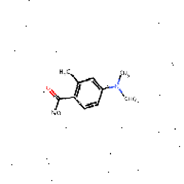 Cc1cc(N(C)C=O)ccc1C(=O)N=O